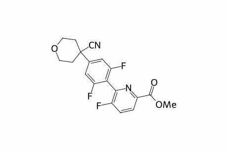 COC(=O)c1ccc(F)c(-c2c(F)cc(C3(C#N)CCOCC3)cc2F)n1